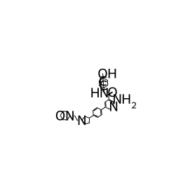 Nc1ncc(-c2ccc(C3CCN(CCN4CCOCC4)C3)cc2)cc1C(=O)NC12CCC(O)(CC1)CC2